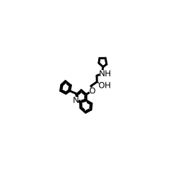 O[C@@H](CNC1CCCC1)COc1cc(-c2ccccc2)nc2ccccc12